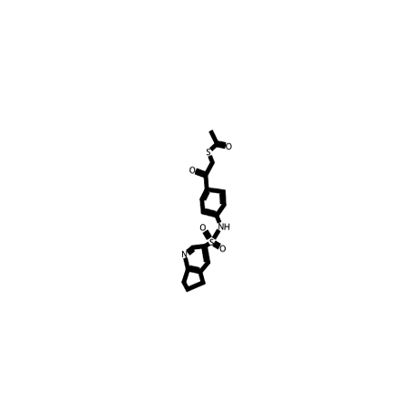 CC(=O)SCC(=O)c1ccc(NS(=O)(=O)c2cnc3c(c2)CCC3)cc1